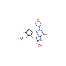 CCc1c(F)cccc1Cc1c(CO)nc2c(I)cc(N3CCOCC3)nn12